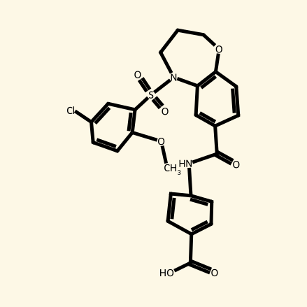 COc1ccc(Cl)cc1S(=O)(=O)N1CCCOc2ccc(C(=O)Nc3ccc(C(=O)O)cc3)cc21